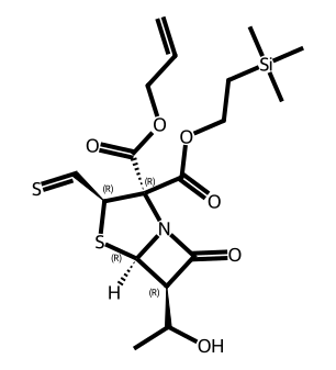 C=CCOC(=O)[C@@]1(C(=O)OCC[Si](C)(C)C)[C@H](C=S)S[C@@H]2[C@H](C(C)O)C(=O)N21